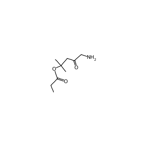 CCC(=O)OC(C)(C)CC(=O)CN